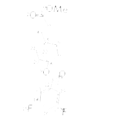 COC(=O)C=CC12CCC(OC(=O)c3cc(F)cc(F)c3)(CC1)C2